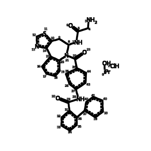 CC(C)O.Cl.NCC(=O)NC1Cc2scnc2-c2ccccc2N1C(=O)c1ccc(NC(=O)c2ccccc2-c2ccccc2)cc1